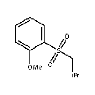 COc1ccccc1S(=O)(=O)CC(C)C